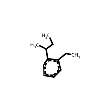 CCc1ccccc1C(C)CC